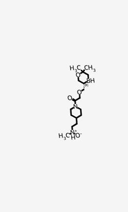 C[NH+]([O-])CCC1CCN(C(=O)COC[C@H]2BCC(C)(C)OC2)CC1